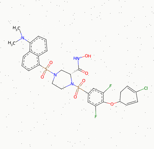 CN(C)c1cccc2c(S(=O)(=O)N3CCN(S(=O)(=O)c4cc(F)c(OC5C=CC(Cl)=CC5)c(F)c4)[C@@H](C(=O)NO)C3)cccc12